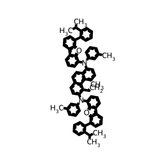 C=Cc1c(N(c2cccc(C)c2)c2cccc3c2oc2c(-c4ccccc4C(C)C)cccc23)ccc2ccc3c(N(c4cccc(C)c4)c4cccc5c4oc4c(-c6ccccc6C(C)C)cccc45)ccc(C)c3c12